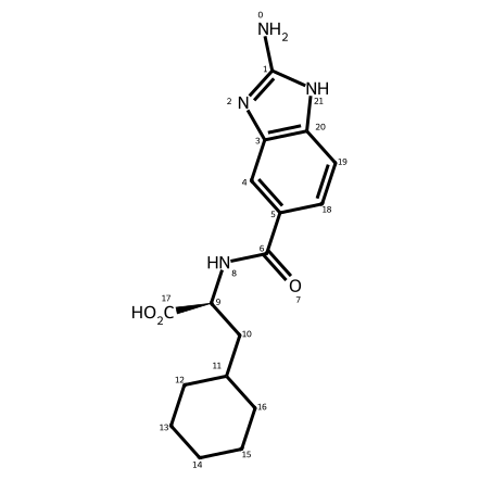 Nc1nc2cc(C(=O)N[C@@H](CC3CCCCC3)C(=O)O)ccc2[nH]1